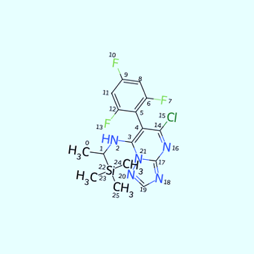 CC(Nc1c(-c2c(F)cc(F)cc2F)c(Cl)nc2ncnn12)[Si](C)(C)C